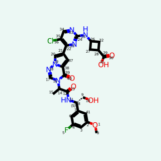 COc1cc(F)cc([C@@H](CO)NC(=O)C(C)n2cnn3cc(-c4nc(NC5CC(C(=O)O)C5)ncc4Cl)cc3c2=O)c1